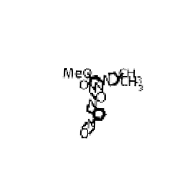 COc1cc(N2CCC(C)(C)CC2)nn(CC(=O)N2CCc3c(N4CCOCC4)cccc32)c1=O